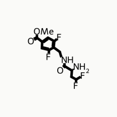 COC(=O)c1cc(F)c(CCNC(=O)[C@@H](N)CC(F)F)c(F)c1